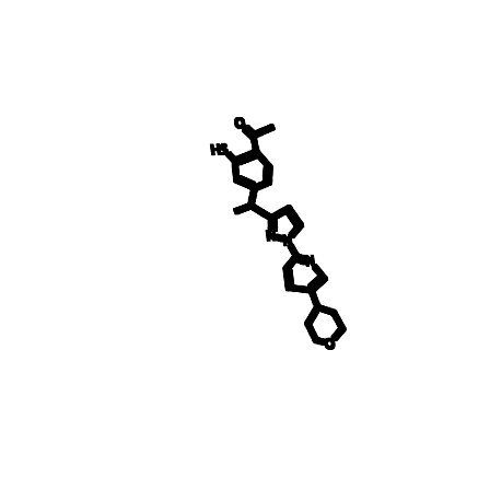 CC(=O)c1ccc(C(C)c2ccn(-c3ccc(C4CCOCC4)cn3)n2)cc1S